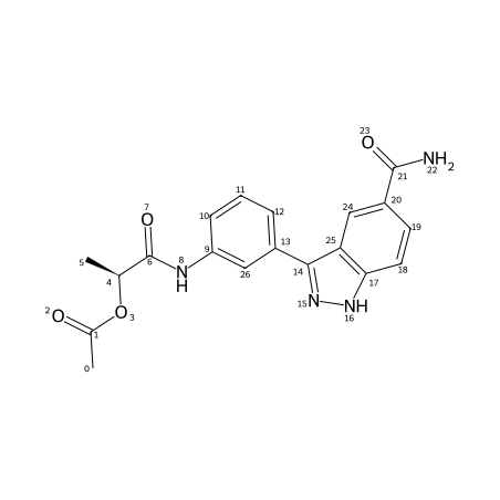 CC(=O)O[C@@H](C)C(=O)Nc1cccc(-c2n[nH]c3ccc(C(N)=O)cc23)c1